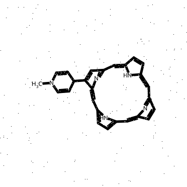 CN1C=CC(C2=Cc3cc4ccc(cc5nc(cc6ccc(cc2n3)[nH]6)C=C5)[nH]4)C=C1